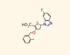 Cc1ccccc1COC1=C(C(=O)O)SC(n2cnc3ccc(F)cc32)C1